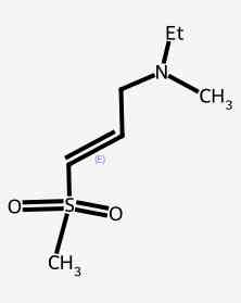 CCN(C)C/C=C/S(C)(=O)=O